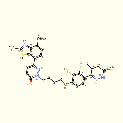 COc1ccc(-c2ccc(=O)n(CCCCOc3ccc(C4=NNC(=O)CC4C)c(F)c3F)n2)c2sc(C(F)(F)F)nc12